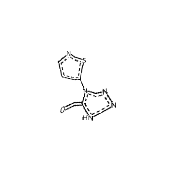 O=c1[nH]nnn1-c1ccns1